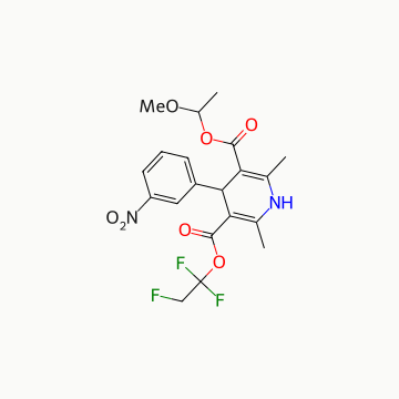 COC(C)OC(=O)C1=C(C)NC(C)=C(C(=O)OC(F)(F)CF)C1c1cccc([N+](=O)[O-])c1